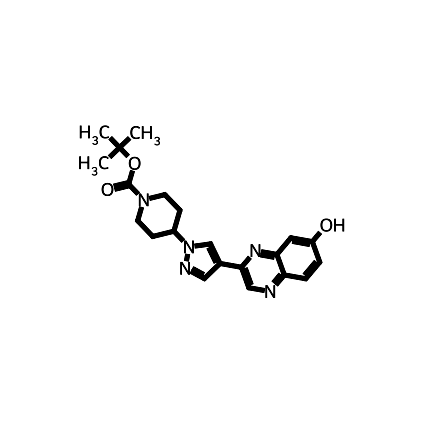 CC(C)(C)OC(=O)N1CCC(n2cc(-c3cnc4ccc(O)cc4n3)cn2)CC1